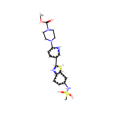 CC(C)(C)OC(=O)N1CCN(c2ccc(-c3nc4ccc(NS(C)(=O)=O)cc4s3)cn2)CC1